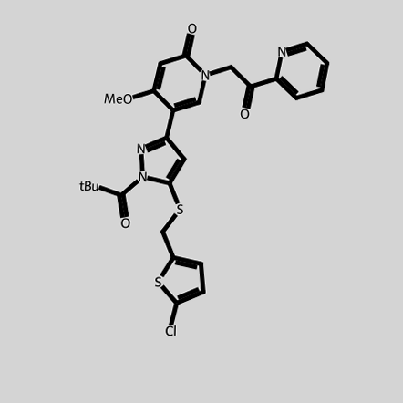 COc1cc(=O)n(CC(=O)c2ccccn2)cc1-c1cc(SCc2ccc(Cl)s2)n(C(=O)C(C)(C)C)n1